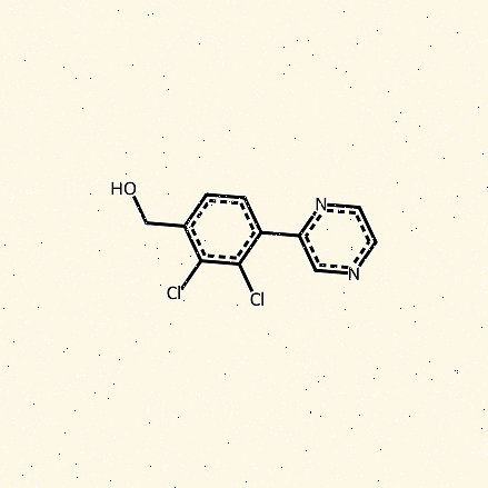 OCc1ccc(-c2cnccn2)c(Cl)c1Cl